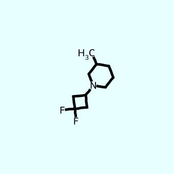 CC1CCCN(C2CC(F)(F)C2)C1